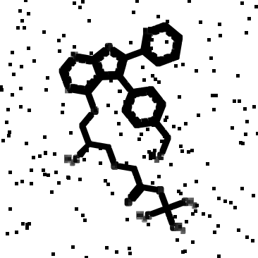 CCc1ccc(-c2c(-c3ccccn3)oc3ncnc(OC[C@H](C)COCC(=O)OC(C)(C)C)c23)cc1